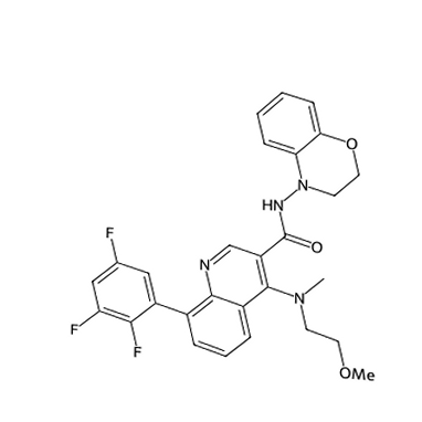 COCCN(C)c1c(C(=O)NN2CCOc3ccccc32)cnc2c(-c3cc(F)cc(F)c3F)cccc12